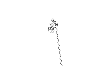 CCCCCCCCCCCCCCCC(N=C=O)[Si](OC)(OC)OC